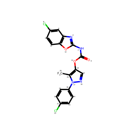 O=C(Nc1nc2cc(Cl)ccc2o1)Oc1cnn(-c2ccc(Cl)cc2)c1C(F)(F)F